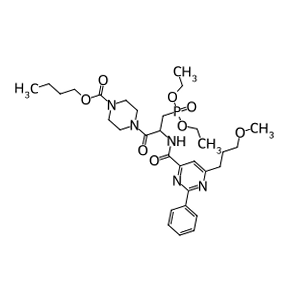 CCCCOC(=O)N1CCN(C(=O)C(CP(=O)(OCC)OCC)NC(=O)c2cc(CCCOC)nc(-c3ccccc3)n2)CC1